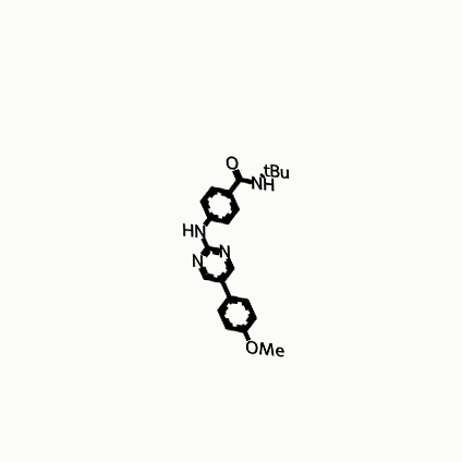 COc1ccc(-c2cnc(Nc3ccc(C(=O)NC(C)(C)C)cc3)nc2)cc1